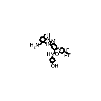 Cc1ccc(CN)c(I)c1Nc1nc2cc(C(=O)Nc3ccc(O)cc3)c(N3CCC(C(F)(F)F)CC3)cc2n1C